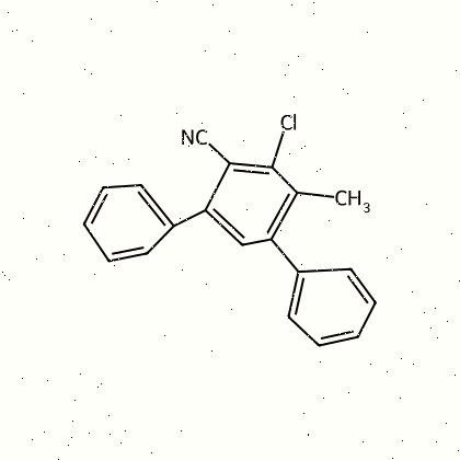 Cc1c(-c2ccccc2)cc(-c2ccccc2)c(C#N)c1Cl